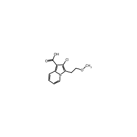 COCCc1c(Cl)c(C(=O)O)c2ccccn12